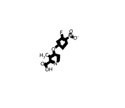 Cc1c(Oc2ccc([N+](=O)[O-])c(F)c2)ccnc1C(=O)O